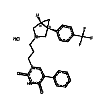 Cl.O=c1[nH]c(=O)n(CCCN2C[C@@H]3C[C@]3(c3ccc(C(F)(F)F)cc3)C2)cc1-c1ccccc1